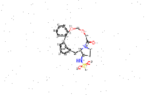 CS(=O)(=O)NC1CCN2C(=O)COCOc3ccccc3-c3cccc(c3)CC12